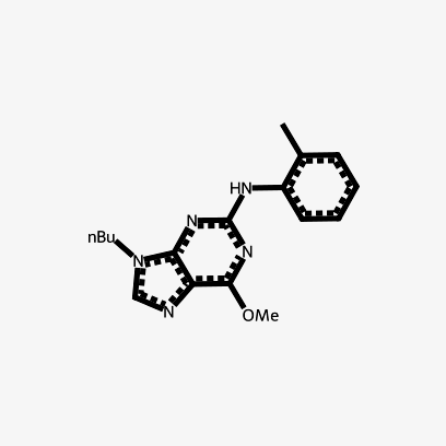 CCCCn1cnc2c(OC)nc(Nc3ccccc3C)nc21